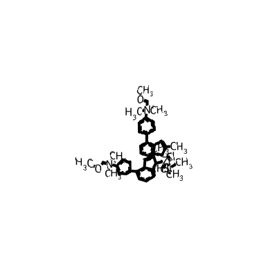 COC[N+](C)(C)c1ccc(-c2cccc3c2C=C(C)[CH]3[Zr]([Cl])([Cl])([CH]2C(C)=Cc3c(-c4ccc([N+](C)(C)COC)cc4)cccc32)[SiH](C)C)cc1